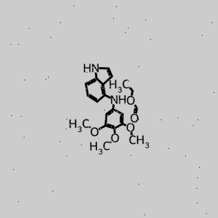 CCOC=O.COc1cc(Nc2cccc3[nH]ccc23)cc(OC)c1OC